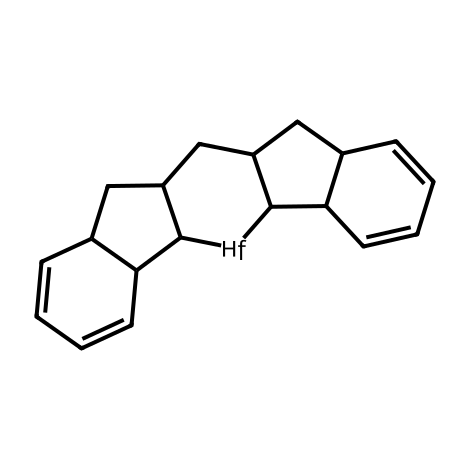 C1=CC2CC3CC4CC5C=CC=CC5[CH]4[Hf][CH]3C2C=C1